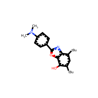 CN(C)c1ccc(-c2nc3c(C(C)(C)C)cc(C(C)(C)C)c(O)c3o2)cc1